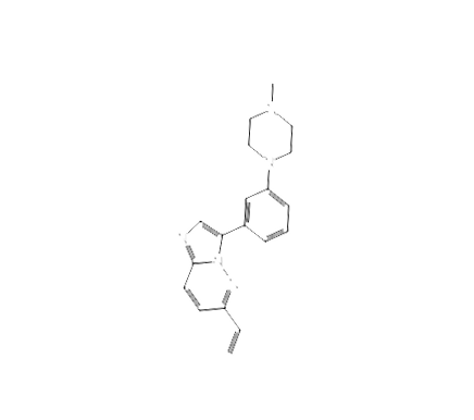 C=Cc1ccc2ncc(-c3cccc(N4CCN(C)CC4)c3)n2n1